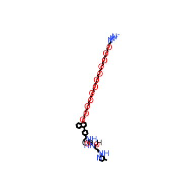 Cc1ccnc(NCCCC(=O)NCC(=O)NC(CC(=O)O)c2ccc(-c3ccc(OCCOCCOCCOCCOCCOCCOCCOCCOCCOCCOCCOCCN=[N+]=[N-])c4ccccc34)cc2)c1